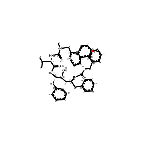 CC(C)[C@H](NC(=O)N(C)Cc1nccc2ccccc12)C(=O)N[C@@H](Cc1ccccc1)[C@@H](O)C[C@H](Cc1ccccc1)NC(=O)OCc1cccnc1